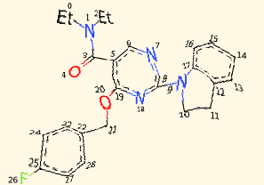 CCN(CC)C(=O)c1cnc(N2CCc3ccccc32)nc1OCc1ccc(F)cc1